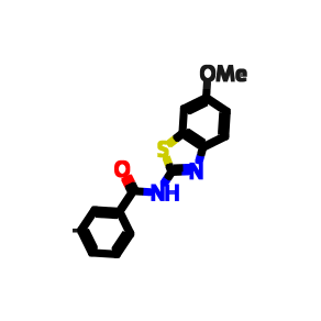 COc1ccc2nc(NC(=O)c3c[c]ccc3)sc2c1